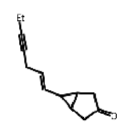 CCC#CC/C=C/C1C2CC(=O)CC12